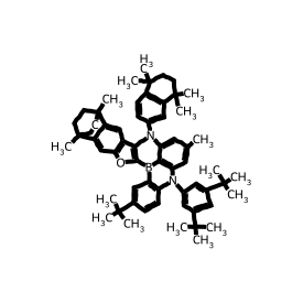 Cc1cc2c3c(c1)N(c1ccc4c(c1)C(C)(C)CCC4(C)C)c1c(oc4cc5c(cc14)C1(C)CCC5(C)CC1)B3c1cc(C(C)(C)C)ccc1N2c1cc(C(C)(C)C)cc(C(C)(C)C)c1